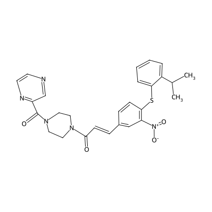 CC(C)c1ccccc1Sc1ccc(C=CC(=O)N2CCN(C(=O)c3cnccn3)CC2)cc1[N+](=O)[O-]